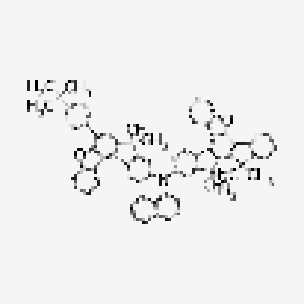 CC(C)(C)c1ccc(-c2cc3c(c4c2oc2ccccc24)-c2ccc(N(c4ccc5c(c4)C(C)(C)c4c6c(c7oc8ccccc8c7c4-5)-c4ccccc4C6(C)C)c4cccc5ccccc45)cc2C3(C)C)cc1